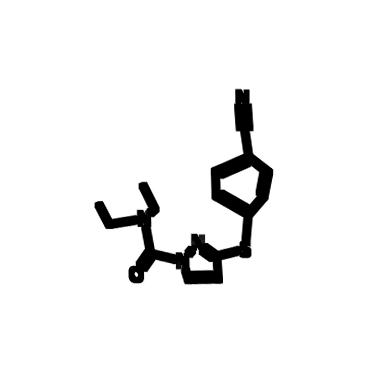 CCN(CC)C(=O)n1ccc(Sc2ccc(C#N)cc2)n1